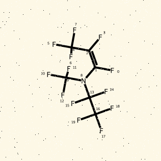 F/C(=C(\F)C(F)(F)F)N(C(F)(F)F)C(F)(F)C(F)(F)F